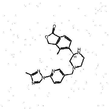 Cc1ncn(-c2ccc(CN3CCN[C@H](c4ccc5c(c4C)COC5=O)C3)cn2)n1